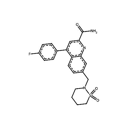 NC(=O)c1cc(-c2ccc(F)cc2)c2ccc(CN3CCCCS3(=O)=O)cc2n1